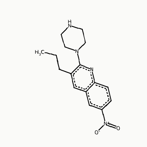 CCCc1cc2cc([N+](=O)[O-])ccc2nc1N1CCNCC1